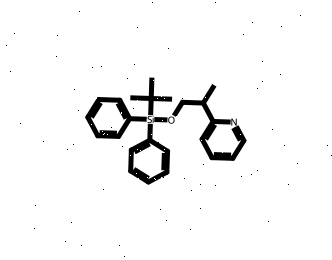 CC(CO[Si](c1ccccc1)(c1ccccc1)C(C)(C)C)c1ccccn1